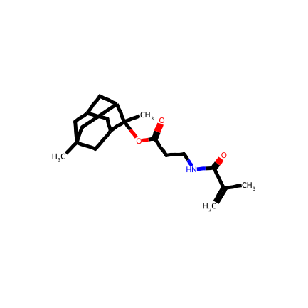 C=C(C)C(=O)NCCC(=O)OC1(C)C2CC3CC1CC(C)(C3)C2